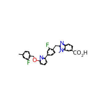 Cc1ccc(COc2cccc(-c3ccc(Cc4nc5ccc(C(=O)O)cc5n4C)c(F)c3)n2)c(F)c1